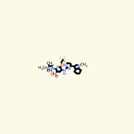 CC(CNc1nc(OCC(F)(F)F)c(Nc2nccc(-c3cn(C)c4ccccc34)n2)cc1[N+](=O)[O-])N(C)C